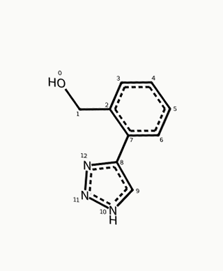 OCc1ccccc1-c1c[nH]nn1